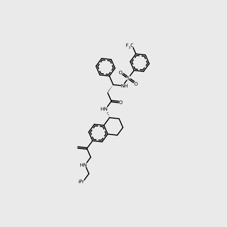 C=C(CNCC(C)C)c1ccc2c(c1)CCC[C@H]2NC(=O)C[C@@H](NS(=O)(=O)c1cccc(C(F)(F)F)c1)c1ccccc1